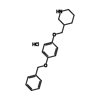 Cl.c1ccc(COc2ccc(OCC3CCCNC3)cc2)cc1